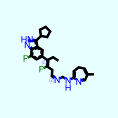 CC/C(=C(/F)C/C=N\CNC1=CCC=C(C)C=N1)c1cc(F)c2n[nH]c(C3CCCC3)c2c1